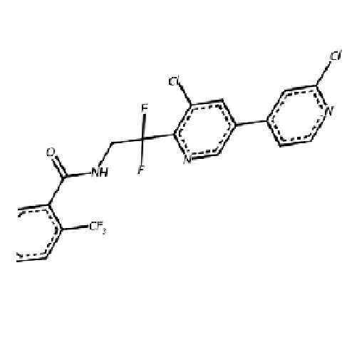 O=C(NCC(F)(F)c1ncc(-c2ccnc(Cl)c2)cc1Cl)c1ccccc1C(F)(F)F